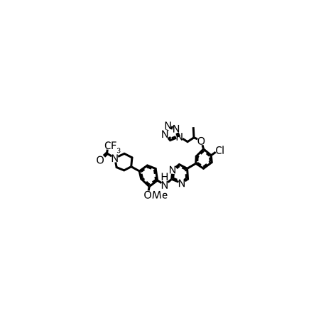 COc1cc(C2CCN(C(=O)C(F)(F)F)CC2)ccc1Nc1ncc(-c2ccc(Cl)c(OC(C)Cn3cnnn3)c2)cn1